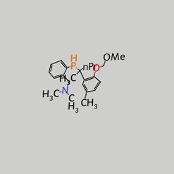 CCCC(C)(Pc1ccccc1CN(C)C)c1cc(C)ccc1OCOC